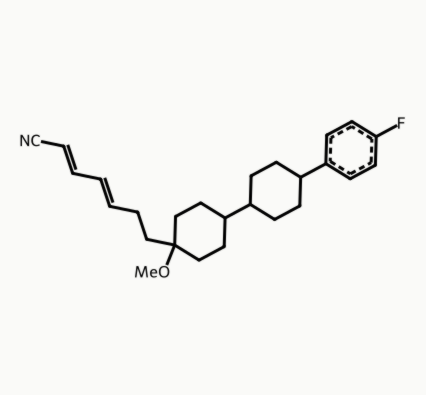 COC1(CCC=CC=CC#N)CCC(C2CCC(c3ccc(F)cc3)CC2)CC1